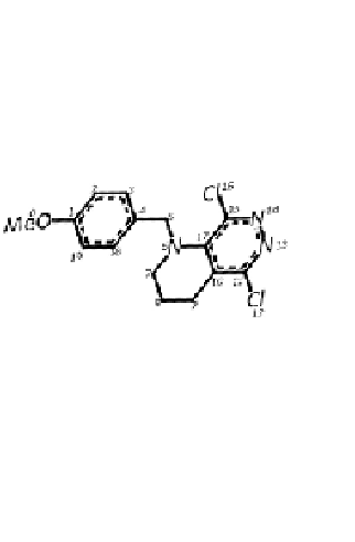 COc1ccc(CN2CCCc3c(Cl)nnc(Cl)c32)cc1